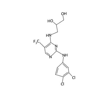 OCC(O)CNc1nc(Nc2ccc(Cl)c(Cl)c2)ncc1C(F)(F)F